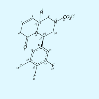 O=C(O)N1C[C@@H]2C=CCC(=O)N2[C@H](c2cc(F)c(F)c(F)c2)C1